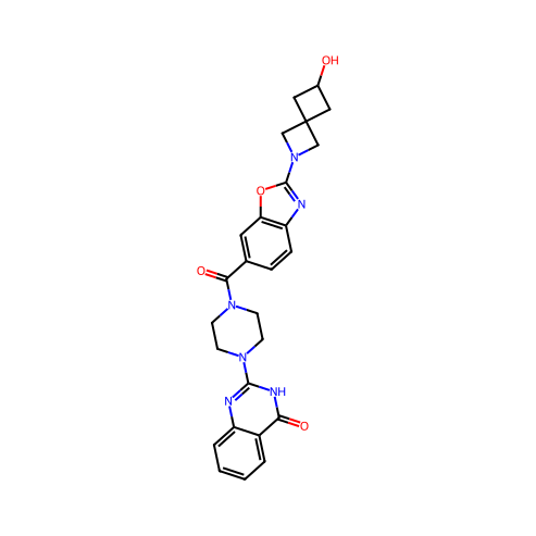 O=C(c1ccc2nc(N3CC4(CC(O)C4)C3)oc2c1)N1CCN(c2nc3ccccc3c(=O)[nH]2)CC1